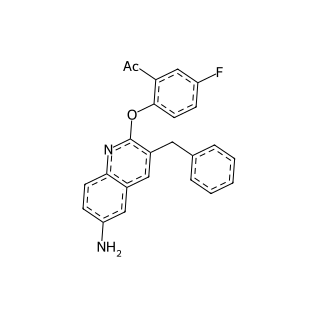 CC(=O)c1cc(F)ccc1Oc1nc2ccc(N)cc2cc1Cc1ccccc1